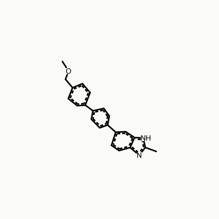 COCc1ccc(-c2ccc(-c3ccc4nc(C)[nH]c4c3)cc2)cc1